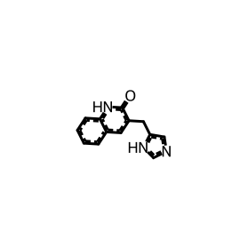 O=c1[nH]c2ccccc2cc1Cc1cnc[nH]1